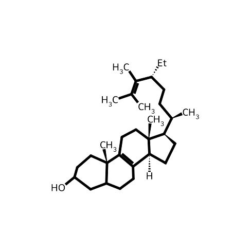 CC[C@H](CC[C@@H](C)[C@H]1CC[C@H]2C3=C(CC[C@]12C)[C@@]1(C)CCC(O)CC1CC3)C(C)=C(C)C